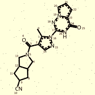 Cc1c(C(=O)N2CC3CC(C#N)CC3C2)cnn1-c1nn2cccc2c(=O)[nH]1